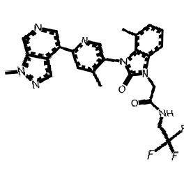 Cc1cc(-c2cncc3c2cnn3C)ncc1-n1c(=O)n(CC(=O)NCC(F)(F)F)c2cccc(C)c21